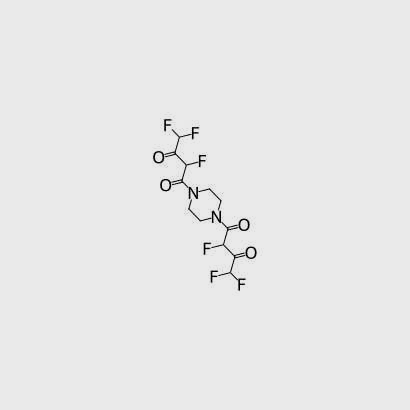 O=C(C(F)F)C(F)C(=O)N1CCN(C(=O)C(F)C(=O)C(F)F)CC1